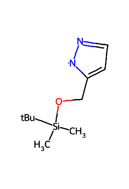 CC(C)(C)[Si](C)(C)OCC1=CC=N[N]1